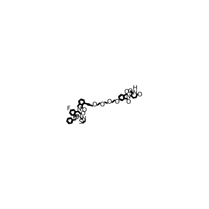 O=C1CCC(N2C(=O)c3ccc(OCCOCCOCCOCC#Cc4cccc5c4C(=O)N(C(C(=O)Nc4nccs4)c4cc(F)ccc4OCc4ccccc4)C5)cc3C2=O)C(=O)N1